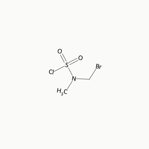 CN(CBr)S(=O)(=O)Cl